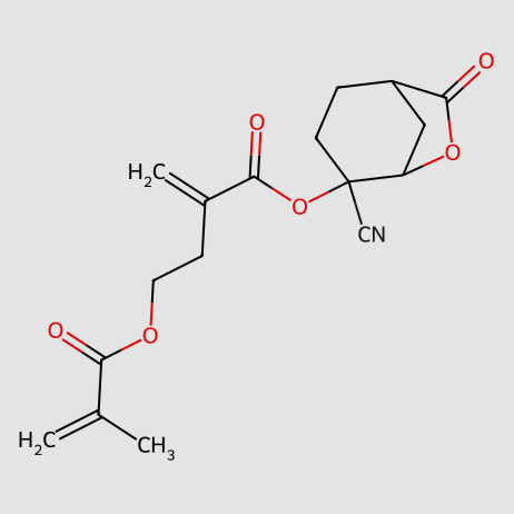 C=C(C)C(=O)OCCC(=C)C(=O)OC1(C#N)CCC2CC1OC2=O